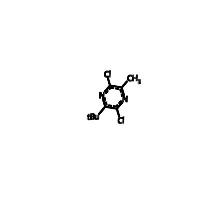 Cc1nc(Cl)c(C(C)(C)C)nc1Cl